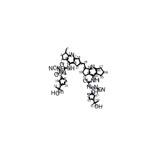 CC1CCc2c1nc1c(c2NC(=O)N=S(=O)(NC#N)c2cc(C(C)(C)O)cs2)CC(CC2CCc3c2nc2c(c3NC(=O)/N=S(\NC#N)c3cc(C(C)(C)O)cs3)CCC2)C1